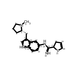 CN1CCC[C@H]1Cc1c[nH]c2ccc(NC(=N)C3CC=CS3)cc12